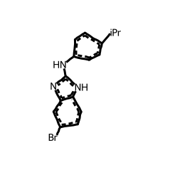 CC(C)c1ccc(Nc2nc3cc(Br)ccc3[nH]2)cc1